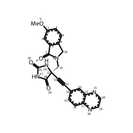 COc1ccc2c(c1)C(=O)N(C[C@@]1(C#Cc3ccc4nccnc4c3)NC(=O)NC1=O)C2